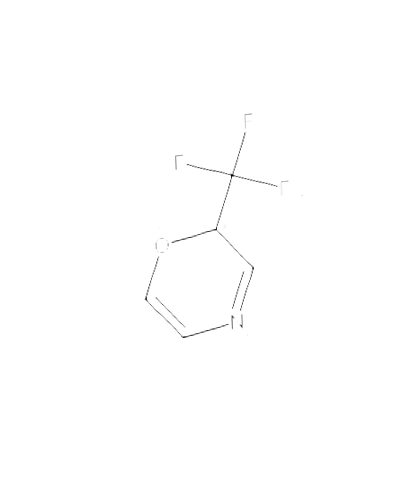 FC(F)(F)C1C=NC=CO1